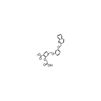 COC(=O)c1ccc(COc2cccc(OCc3ccc4ccccc4n3)c2)cc1OCC(=O)O